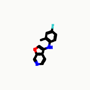 Cc1cc(F)ccc1Nc1coc2cnccc12